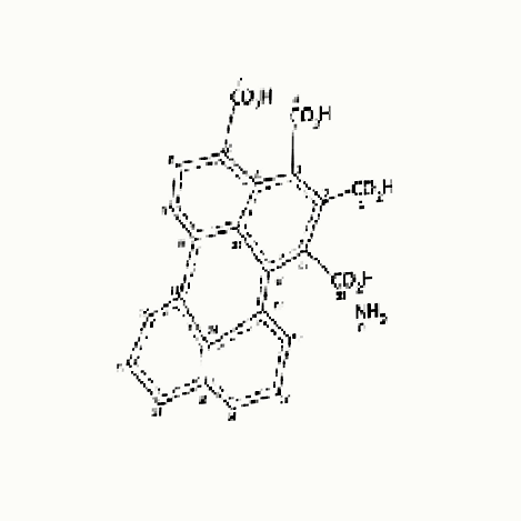 N.O=C(O)c1c(C(=O)O)c2c(C(=O)O)ccc3c4cccc5cccc(c(c1C(=O)O)c23)c54